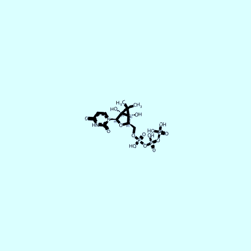 CC1(C)[C@]2(O)[C@H](n3ccc(=O)[nH]c3=O)O[C@H](COP(=O)(O)OP(=O)(O)OP(=O)(O)O)[C@]12O